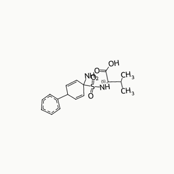 CC(C)[C@H](NS(=O)(=O)C1(N)C=CC(c2ccccc2)C=C1)C(=O)O